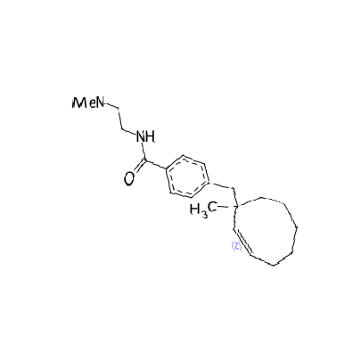 CNCCNC(=O)c1ccc(CC2(C)/C=C\CCCCC2)cc1